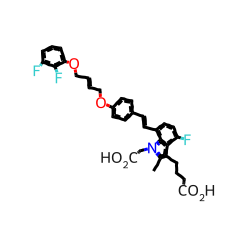 Cc1c(CCCC(=O)O)c2c(F)ccc(C=Cc3ccc(OCC=CCOc4cccc(F)c4F)cc3)c2n1CC(=O)O